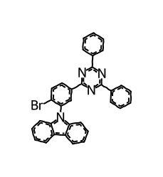 Brc1ccc(-c2nc(-c3ccccc3)nc(-c3ccccc3)n2)cc1-n1c2ccccc2c2ccccc21